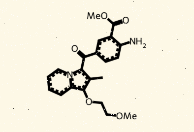 COCCOc1c(C)c(C(=O)c2ccc(N)c(C(=O)OC)c2)n2ccccc12